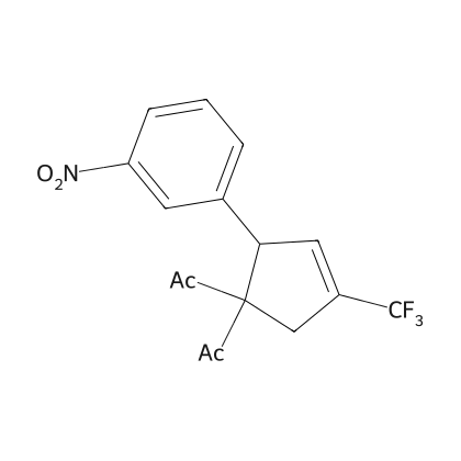 CC(=O)C1(C(C)=O)CC(C(F)(F)F)=CC1c1cccc([N+](=O)[O-])c1